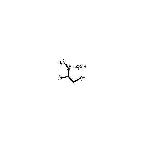 CCC(CO)[C@H](N)C(=O)O